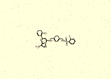 Bc1cnn2c(NCC3=CC=C(CNS(=O)(=O)c4ccccc4F)CC3)cc(C3=C(Cl)CCC=C3)nc12